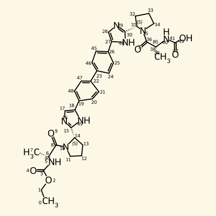 CCOC(=O)N[C@H](C)C(=O)N1CCC[C@H]1c1ncc(-c2ccc(-c3ccc(-c4cnc([C@@H]5CCCN5C(=O)[C@@H](C)NC(=O)O)[nH]4)cc3)cc2)[nH]1